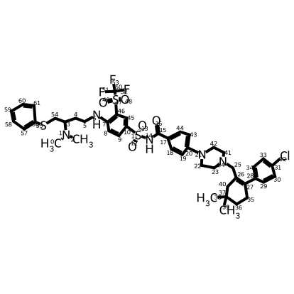 CN(C)C(CCNc1ccc(S(=O)(=O)NC(=O)c2ccc(N3CCN(CC4=C(c5ccc(Cl)cc5)CCC(C)(C)C4)CC3)cc2)cc1S(=O)(=O)C(F)(F)F)CSc1ccccc1